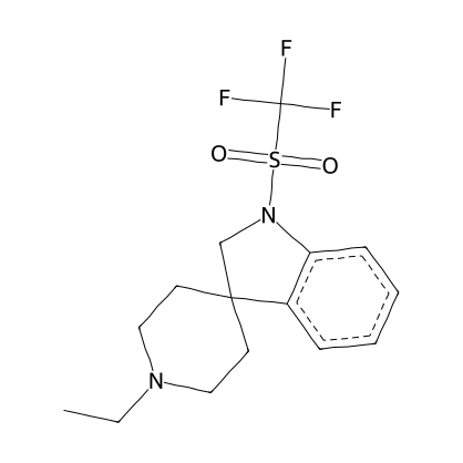 CCN1CCC2(CC1)CN(S(=O)(=O)C(F)(F)F)c1ccccc12